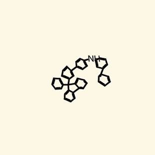 c1ccc(-c2cccc(Nc3ccc(-c4cccc(C5(c6ccccc6)c6ccccc6-c6ccccc65)c4)cc3)c2)cc1